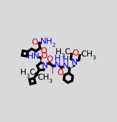 C[C@@H]1CN(C[C@@H](NC(=O)NC(I)C(=O)N2CC(C(C)(C)C3CCC3)C[C@H]2C(=O)NC(CC2CCC2)C(=O)C(N)=O)C2CCCCC2)C[C@H](C)O1